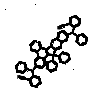 N#Cc1ccccc1N(c1ccccc1)c1ccc2cc3c(cc2c1)C(c1ccccc1)(c1ccccc1)c1c-3c2ccccc2c2cc(N(c3ccccc3)c3ccccc3C#N)ccc12